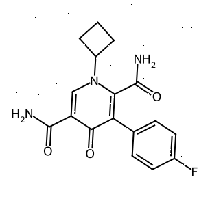 NC(=O)c1cn(C2CCC2)c(C(N)=O)c(-c2ccc(F)cc2)c1=O